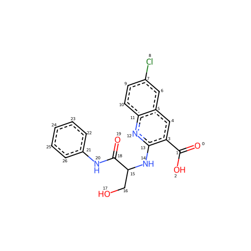 O=C(O)c1cc2cc(Cl)ccc2nc1NC(CO)C(=O)Nc1ccccc1